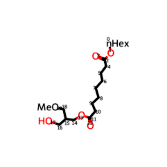 CCCCCCOC(=O)CCCCCCCC(=O)OCC(CO)COC